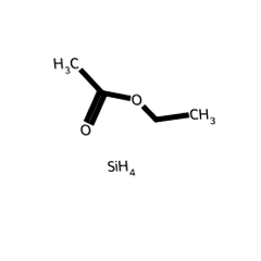 CCOC(C)=O.[SiH4]